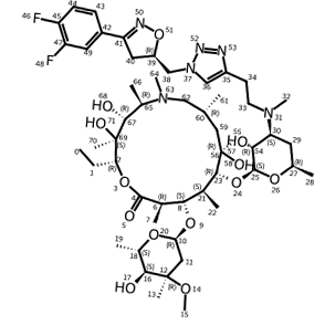 CC[C@H]1OC(=O)[C@H](C)[C@@H](O[C@H]2C[C@@](C)(OC)[C@@H](O)[C@H](C)O2)[C@H](C)[C@@H](O[C@@H]2O[C@H](C)C[C@H](N(C)CCc3cn(C[C@H]4CC(c5ccc(F)c(F)c5)=NO4)nn3)[C@H]2O)[C@](C)(O)C[C@@H](C)CN(C)[C@H](C)[C@@H](O)[C@]1(C)O